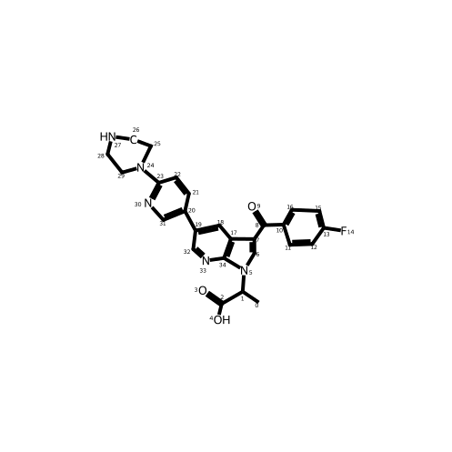 CC(C(=O)O)n1cc(C(=O)c2ccc(F)cc2)c2cc(-c3ccc(N4CCNCC4)nc3)cnc21